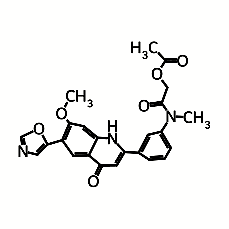 COc1cc2[nH]c(-c3cccc(N(C)C(=O)COC(C)=O)c3)cc(=O)c2cc1-c1cnco1